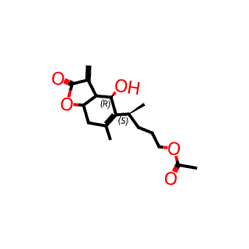 C=C1C(=O)OC2CC(C)=C([C@@H](C)CCCOC(C)=O)[C@H](O)C12